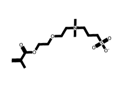 C=C(C)C(=O)OCCOCC[N+](C)(C)CCCS(=O)(=O)[O-]